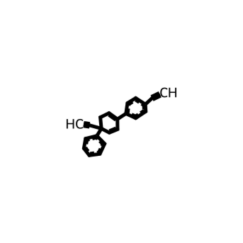 C#Cc1ccc(C2=CCC(C#C)(c3ccccc3)C=C2)cc1